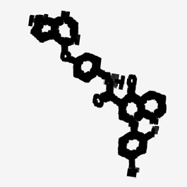 O=C(Nc1ccc(Oc2ncnc3[nH]ccc23)cc1)c1cn(-c2ccc(Br)cc2F)c2ncccc2c1=O